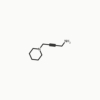 NCC#CCN1CCCCC1